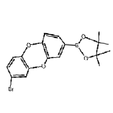 CC1(C)OB(c2ccc3c(c2)Oc2cc(Br)ccc2O3)OC1(C)C